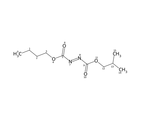 CCCCOC(=O)N=NC(=O)OCC(C)C